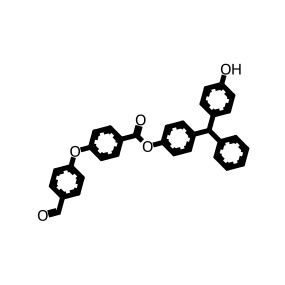 O=Cc1ccc(Oc2ccc(C(=O)Oc3ccc(C(c4ccccc4)c4ccc(O)cc4)cc3)cc2)cc1